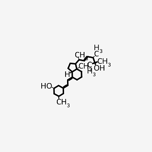 C[C@@H]1C/C(=C/C=C2\CCC[C@]3(C)C([C@H](C)/C=C/[C@H](C)C(C)(C)O)CC[C@@H]23)C[C@@H](O)C1